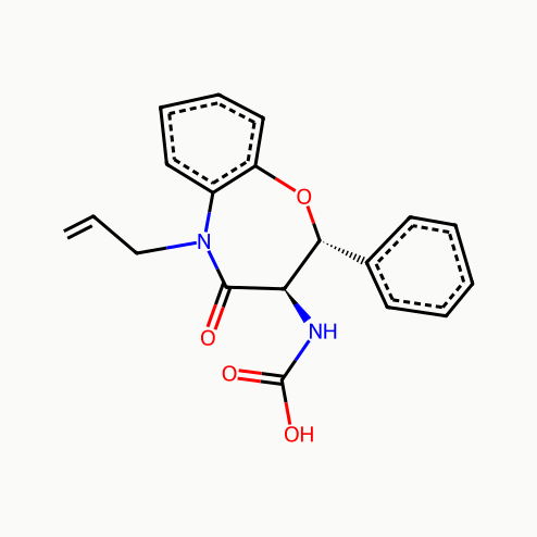 C=CCN1C(=O)[C@H](NC(=O)O)[C@@H](c2ccccc2)Oc2ccccc21